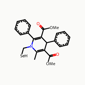 COC(=O)C1=C(C)N(C[SeH])C(c2ccccc2)=C(C(=O)OC)C1c1ccccc1